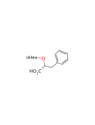 CCCCCCOC(Cc1ccccc1)C(=O)O